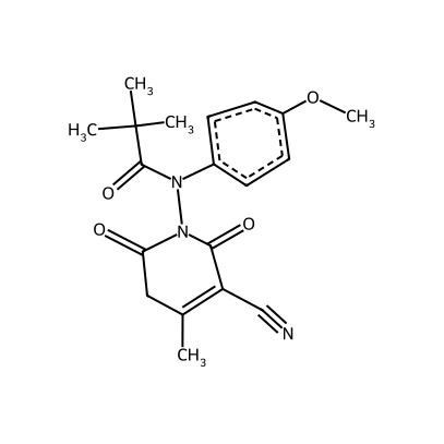 COc1ccc(N(C(=O)C(C)(C)C)N2C(=O)CC(C)=C(C#N)C2=O)cc1